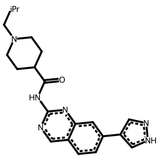 CC(C)CN1CCC(C(=O)Nc2ncc3ccc(-c4cn[nH]c4)cc3n2)CC1